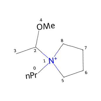 CCC[N+]1(C(C)OC)CCCC1